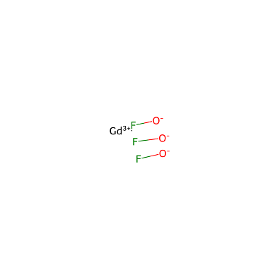 [Gd+3].[O-]F.[O-]F.[O-]F